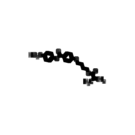 C=C(C)C(=O)OCCCCOc1ccc(C(=O)Oc2ccc(C(=O)O)cc2)cc1